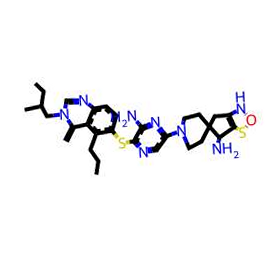 C=C1c2c(ccc(Sc3ncc(N4CCC5(CC4)CC4=C(SON4)C5N)nc3N)c2CCC)N=CN1CC(C)CC